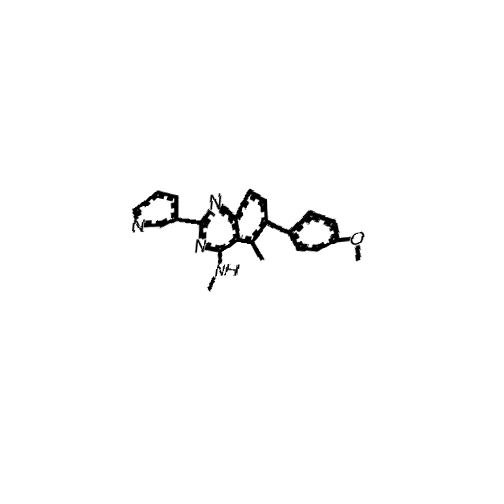 CNc1nc(-c2cccnc2)nc2ccc(-c3ccc(OC)cc3)c(C)c12